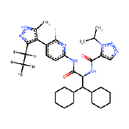 [2H]C([2H])([2H])C([2H])([2H])c1n[nH]c(C)c1-c1ccc(NC(=O)[C@@H](NC(=O)c2cnnn2C(C)C)C(C2CCCCC2)C2CCCCC2)nc1F